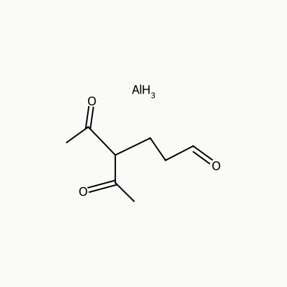 CC(=O)C(CCC=O)C(C)=O.[AlH3]